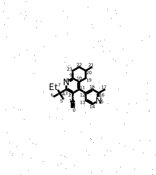 C#Cc1c(C(C)(C)CC)nc2c(c1-c1ccnc(C)c1)CC(C)CC2